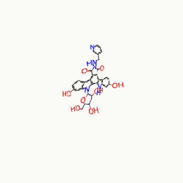 O=C1c2c(c3c4ccc(O)cc4n(C4OC(CO)C(O)CC4O)c3c3[nH]c4cc(O)ccc4c23)C(=O)N1NCc1cccnc1